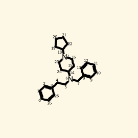 c1ccc(CCN(Cc2ccccc2)C2CCN(C3CCCC3)CC2)cc1